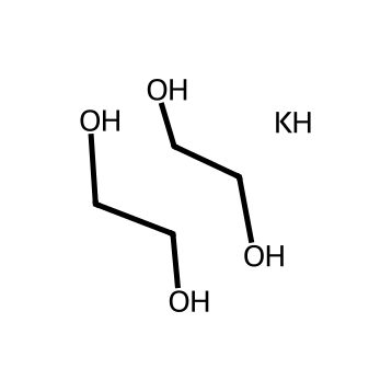 OCCO.OCCO.[KH]